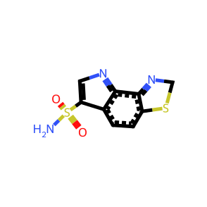 NS(=O)(=O)C1=CN=c2c1ccc1c2=NCS1